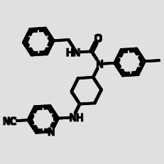 Cc1ccc(N(C(=O)NCc2ccccc2)C2CCC(Nc3ccc(C#N)cn3)CC2)cc1